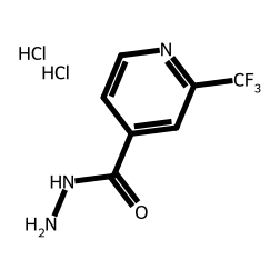 Cl.Cl.NNC(=O)c1ccnc(C(F)(F)F)c1